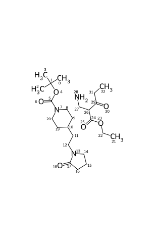 CC(C)(C)OC(=O)N1CCC(CCN2CCCC2=O)CC1.CCOC(=O)C(CN)C(=O)CC